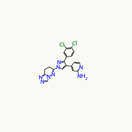 Nc1cc(-c2cn(C3=Nn4cnnc4CC3)nc2-c2ccc(Cl)c(Cl)c2)ccn1